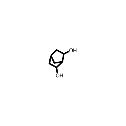 OC1CC2CC(O)C1C2